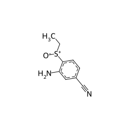 CC[S+]([O-])c1ccc(C#N)cc1N